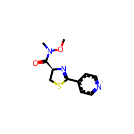 CON(C)C(=O)[C@@H]1CSC(c2ccncc2)=N1